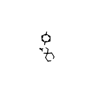 O=C1NC2(CCOCC2)CN1c1ccc(Br)cc1